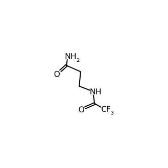 NC(=O)CCNC(=O)C(F)(F)F